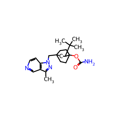 Cc1nn(CC23CCC(OC(N)=O)(CC2)C(C(C)(C)C)C3)c2ccncc12